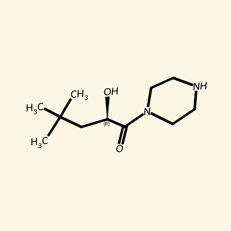 CC(C)(C)C[C@@H](O)C(=O)N1CCNCC1